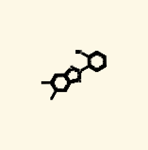 Cc1cc2nn(-c3cc[c]cc3O)nc2cc1C